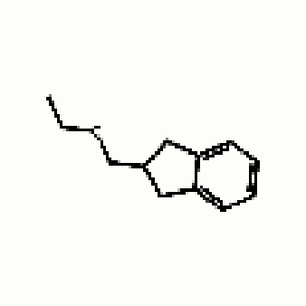 CCOCC1Cc2ccccc2C1